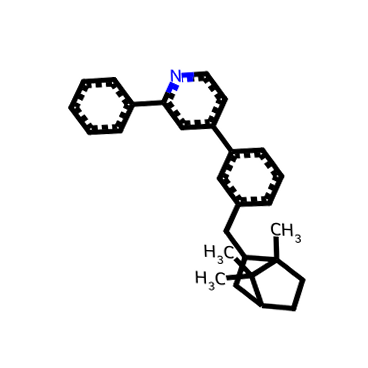 CC1(C)C2CCC1(C)C(Cc1cccc(-c3ccnc(-c4ccccc4)c3)c1)C2